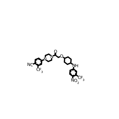 N#Cc1ccc(N2CCN(C(=O)COC3CCC(Nc4ccc([N+](=O)[O-])c(C(F)(F)F)c4)CC3)CC2)cc1C(F)(F)F